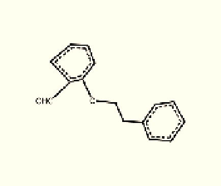 O=Cc1ccccc1OCCc1ccccc1